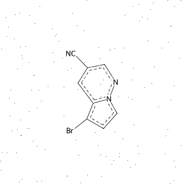 N#Cc1cnn2ccc(Br)c2c1